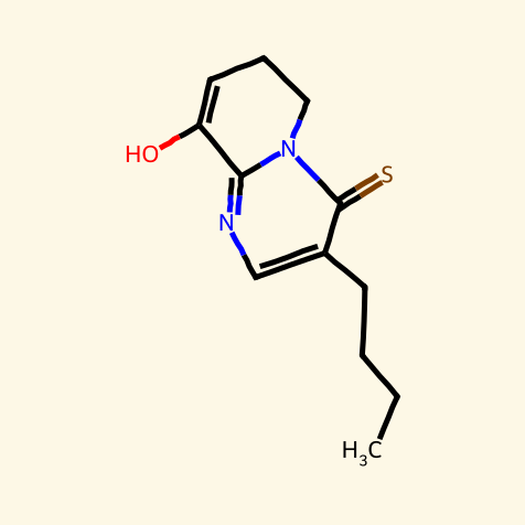 CCCCc1cnc2n(c1=S)CCC=C2O